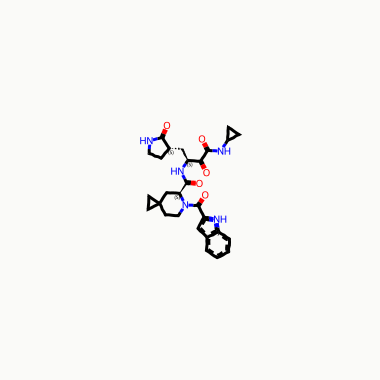 O=C(NC1CC1)C(=O)[C@H](C[C@@H]1CCNC1=O)NC(=O)[C@@H]1CC2(CCN1C(=O)c1cc3ccccc3[nH]1)CC2